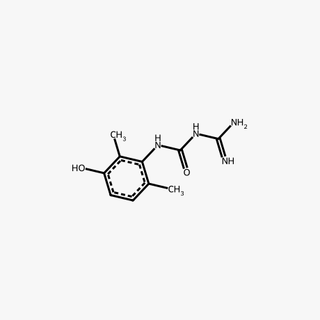 Cc1ccc(O)c(C)c1NC(=O)NC(=N)N